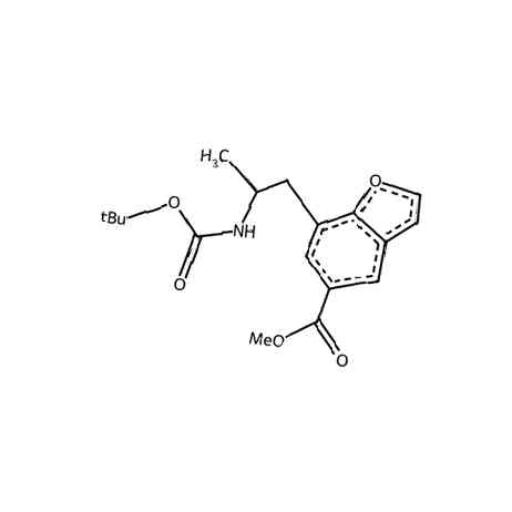 COC(=O)c1cc(CC(C)NC(=O)OC(C)(C)C)c2occc2c1